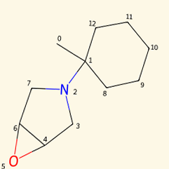 CC1(N2CC3OC3C2)CCCCC1